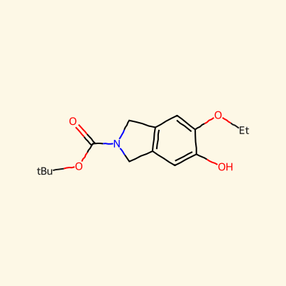 CCOc1cc2c(cc1O)CN(C(=O)OC(C)(C)C)C2